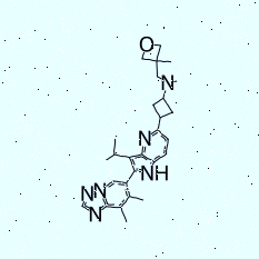 Cc1c(-c2[nH]c3ccc(C4CC(N(C)CC5(C)COC5)C4)nc3c2C(C)C)cn2ncnc2c1C